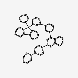 c1ccc(-c2ccc(-c3nc(-c4cccc(-c5cccc(C6(c7ccccc7)c7ccccc7-c7ccccc76)c5)c4)c4ccccc4n3)cc2)cc1